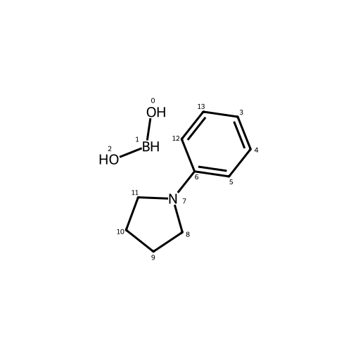 OBO.c1ccc(N2CCCC2)cc1